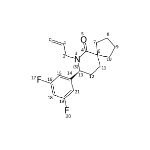 C=CCN1C(=O)C2(CCCC2)CC[C@H]1c1cc(F)cc(F)c1